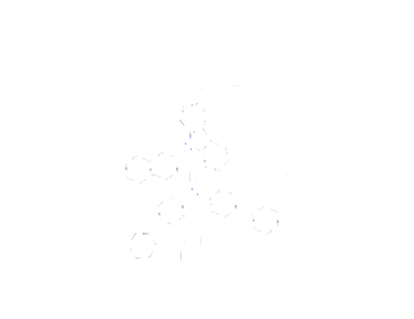 CCC1(c2ccc3c(c2)c2cc(C45CC6CC(CC(C6)C4)C5)cc4c2n3-c2cc3ccccc3c3c2B4N(c2ccc(-c4ccccc4)cc2)c2cc4c(cc2-3)-c2ccccc2C4(C)C)CC2CCC(C2)C1